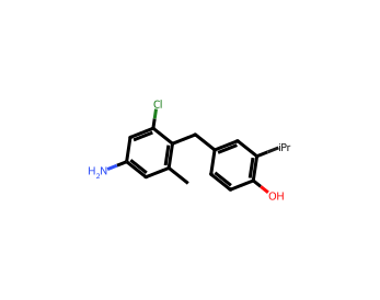 Cc1cc(N)cc(Cl)c1Cc1ccc(O)c(C(C)C)c1